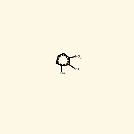 O=[N+]([O-])c1cccc([N+](=O)[O-])c1P